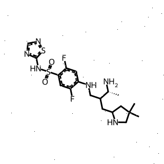 C[C@@H](N)C(CNc1cc(F)c(S(=O)(=O)Nc2ncns2)cc1F)CC1CC(C)(C)CN1